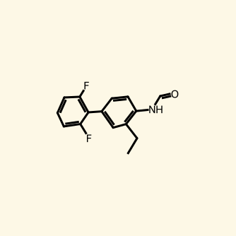 CCc1cc(-c2c(F)cccc2F)ccc1NC=O